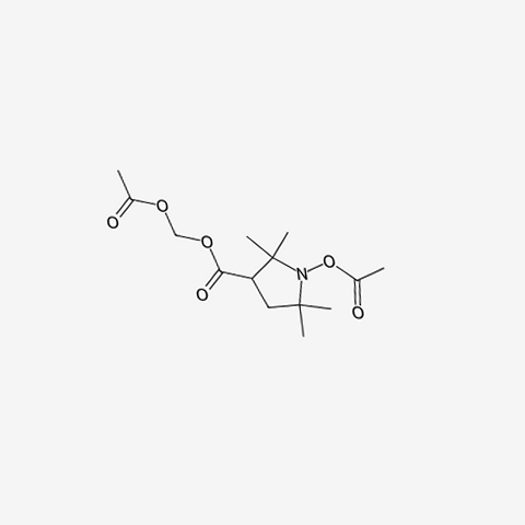 CC(=O)OCOC(=O)C1CC(C)(C)N(OC(C)=O)C1(C)C